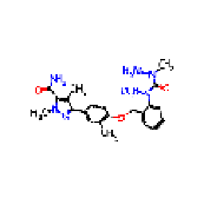 Cc1cc(-c2nn(C)c(C(N)=O)c2C)ccc1OCc1ccccc1N(N)C(=O)N(C)N